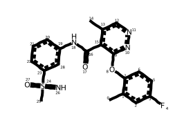 Cc1cc(F)ccc1Oc1nncc(C)c1C(=O)Nc1cccc(S(C)(=N)=O)c1